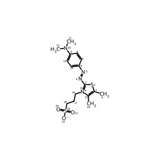 Cc1sc(/N=N/c2ccc(N(C)C)cc2)[n+](CCCS(=O)(=O)[O-])c1C